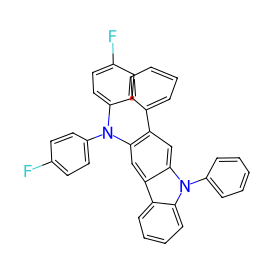 Fc1ccc(N(c2ccc(F)cc2)c2cc3c4ccccc4n(-c4ccccc4)c3cc2-c2ccccc2)cc1